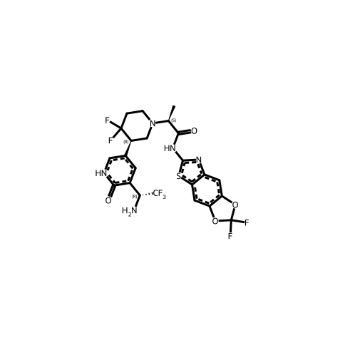 C[C@@H](C(=O)Nc1nc2cc3c(cc2s1)OC(F)(F)O3)N1CCC(F)(F)[C@H](c2c[nH]c(=O)c([C@@H](N)C(F)(F)F)c2)C1